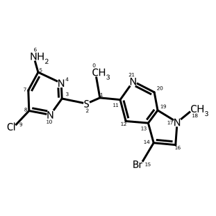 CC(Sc1nc(N)cc(Cl)n1)c1cc2c(Br)cn(C)c2cn1